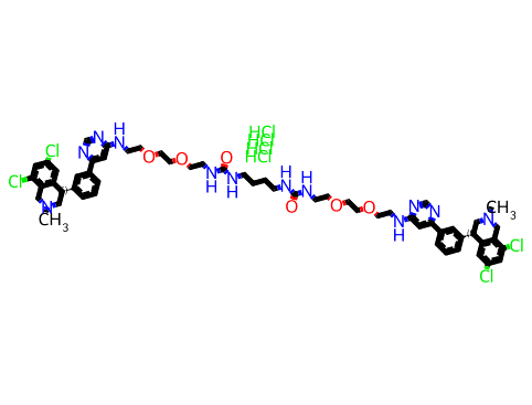 CN1Cc2c(Cl)cc(Cl)cc2[C@H](c2cccc(-c3cc(NCCOCCOCCNC(=O)NCCCCNC(=O)NCCOCCOCCNc4cc(-c5cccc([C@@H]6CN(C)Cc7c(Cl)cc(Cl)cc76)c5)ncn4)ncn3)c2)C1.Cl.Cl.Cl.Cl